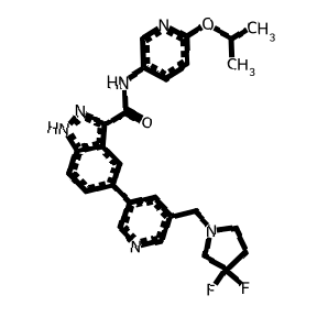 CC(C)Oc1ccc(NC(=O)c2n[nH]c3ccc(-c4cncc(CN5CCC(F)(F)C5)c4)cc23)cn1